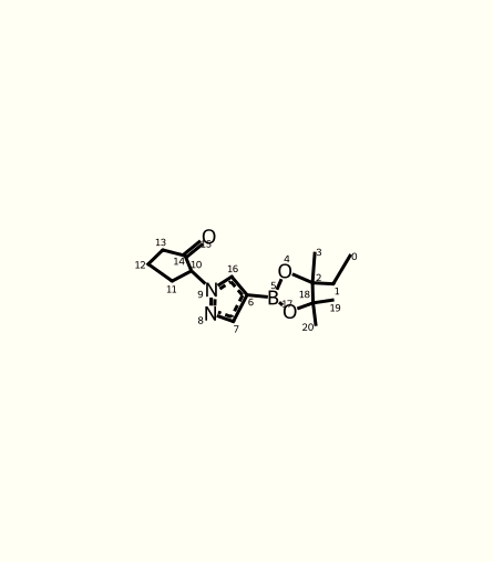 CCC1(C)OB(c2cnn(C3CCCC3=O)c2)OC1(C)C